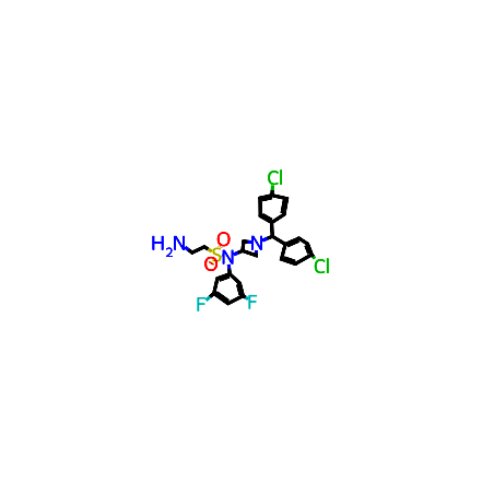 NCCS(=O)(=O)N(c1cc(F)cc(F)c1)C1CN(C(c2ccc(Cl)cc2)c2ccc(Cl)cc2)C1